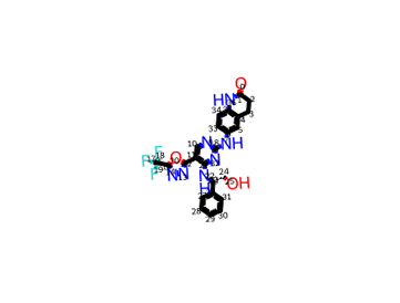 O=C1CCc2cc(Nc3ncc(-c4nnc(C(F)(F)F)o4)c(N[C@H](CO)c4ccccc4)n3)ccc2N1